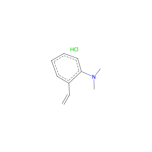 C=Cc1ccccc1N(C)C.Cl